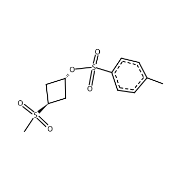 Cc1ccc(S(=O)(=O)O[C@H]2C[C@H](S(C)(=O)=O)C2)cc1